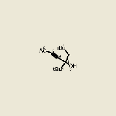 CCC(C)CC(O)(C#CC(C)=O)C(C)(C)C